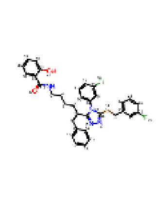 O=C(NCCCCC(Cc1ccccc1)c1nnc(SCc2cccc(F)c2)n1-c1cccc(Cl)c1)c1ccccc1O